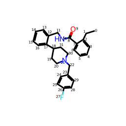 CCc1ccccc1C(=O)NCc1ccccc1C1CCN(Cc2ccc(F)cc2)CC1